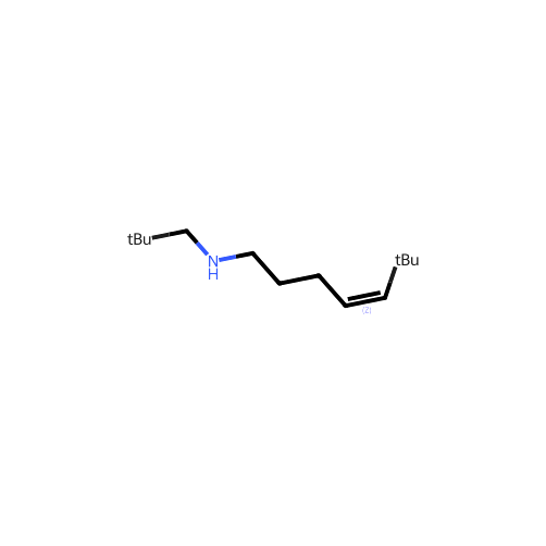 CC(C)(C)/C=C\CCCNCC(C)(C)C